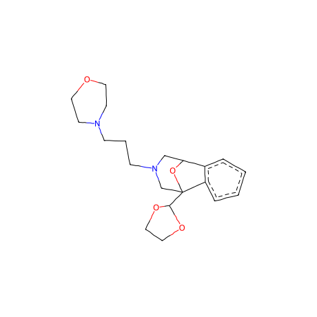 c1ccc2c(c1)C1CN(CCCN3CCOCC3)CC2(C2OCCO2)O1